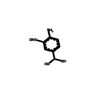 Nc1ccc(B(O)O)cc1C=O